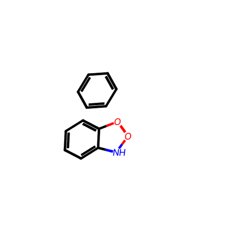 c1ccc2c(c1)NOO2.c1ccccc1